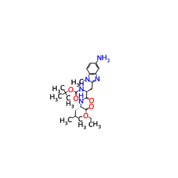 CCOC(=O)[C@H](CC(C)C)NC(=O)[C@H](Cc1nc2cc(N)ccc2n1C)NC(=O)OC(C)(C)C